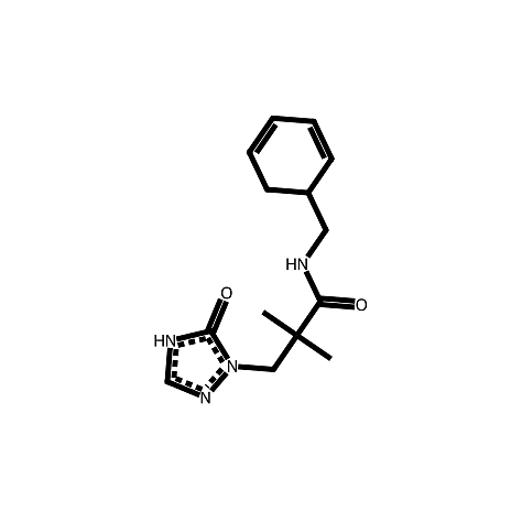 CC(C)(Cn1nc[nH]c1=O)C(=O)NCC1C=CC=CC1